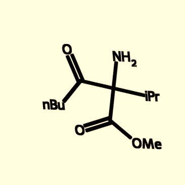 CCCCC(=O)C(N)(C(=O)OC)C(C)C